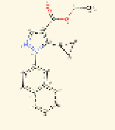 CCOC(=O)c1cnn(-c2ccc3ccccc3c2)c1C1CC1